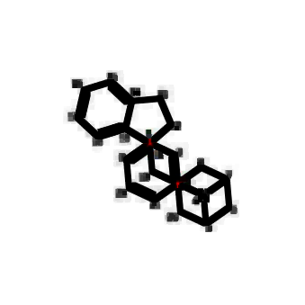 c1ccc(N2C3CC2CN(CC2CCc4ccccc42)C3)cc1